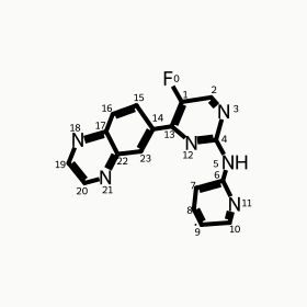 Fc1cnc(Nc2cc[c]cn2)nc1-c1ccc2nccnc2c1